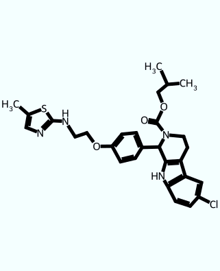 Cc1cnc(NCCOc2ccc(C3c4[nH]c5ccc(Cl)cc5c4CCN3C(=O)OCC(C)C)cc2)s1